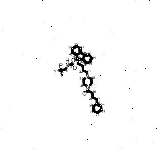 O=C(NCC(F)(F)F)OC1(CCCCN2CCN(C(=O)CCCc3ccccc3)CC2)c2ccccc2-c2ccccc21